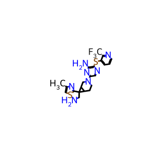 Cc1csc(C2(CN)C3CCN(c4cnc(Sc5cccnc5C(F)(F)F)c(N)n4)CC32)n1